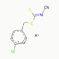 N#C/N=C(\[S-])SCc1ccc(Cl)cc1.[K+]